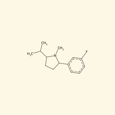 CC(C)C1CCC(c2cccc(F)c2)N1C